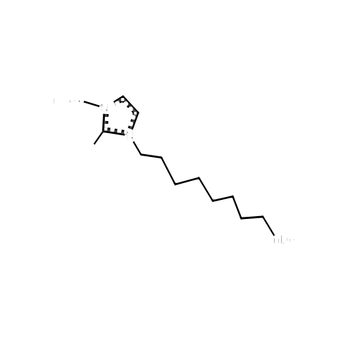 CCCCCCCCCCCCCCCCCCn1cc[n+](CCCCCC)c1C